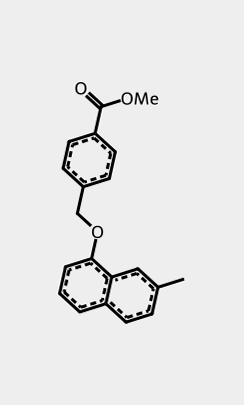 COC(=O)c1ccc(COc2cccc3ccc(C)cc23)cc1